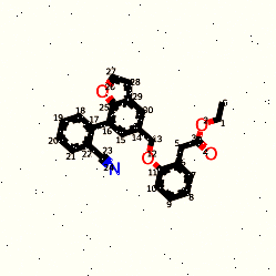 CCOC(=O)Cc1ccccc1OCc1cc(-c2ccccc2C#N)c2occc2c1